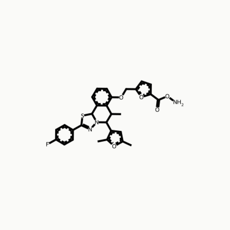 Cc1cc(C2C(C)c3c(OCc4ccc(C(=O)ON)o4)cccc3C3SC(c4ccc(F)cc4)=NN32)c(C)o1